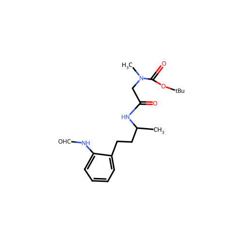 CC(CCc1ccccc1NC=O)NC(=O)CN(C)C(=O)OC(C)(C)C